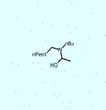 CCCCCCN(CCCC)C(C)O